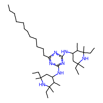 CCCCCCCCCCCCc1nc(NC2CC(C)(CC)NC(C)(CC)C2C)nc(NC2CC(C)(CC)NC(C)(CC)C2C)n1